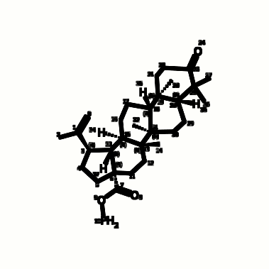 C=C(C)[C@@H]1CC[C@]2(C(=O)OP)CC[C@]3(C)[C@H](CC[C@@H]4[C@@]5(C)CCC(=O)C(C)(C)[C@@H]5CC[C@]43C)[C@@H]12